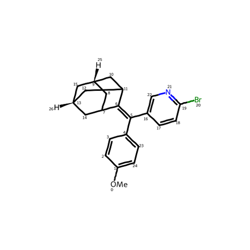 COc1ccc(C(=C2C3C[C@H]4CC2C[C@H](C3)C4)c2ccc(Br)nc2)cc1